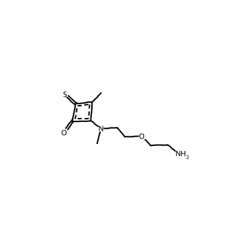 Cc1c(N(C)CCOCCN)c(=O)c1=S